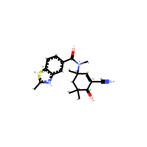 Cc1nc2cc(C(=O)N(C)C3(C)C=C(C#N)C(=O)C(C)(C)C3)ccc2s1